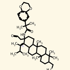 CCC1CCC2(C)C(CCC3(C)C4CCC(CC=O)(NC(=O)C(C)(C)c5ccc6c(c5)OCCO6)/C(=C(\C)C(C)C)C4CCC32)C1(C)C